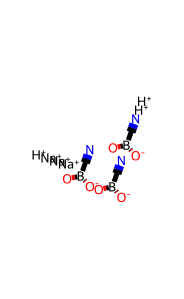 N#CB([O-])[O-].N#CB([O-])[O-].N#CB([O-])[O-].[H+].[H+].[H+].[Na+].[Na+].[Na+]